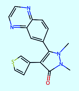 Cn1c(-c2ccc3nccnc3c2)c(-c2ccsc2)c(=O)n1C